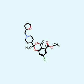 COC(=O)c1cc(Cl)cc2c1C(C)OC(C)(C1CCN(CC3CCCO3)CC1)O2